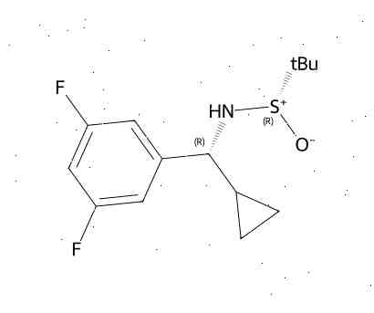 CC(C)(C)[S@+]([O-])N[C@@H](c1cc(F)cc(F)c1)C1CC1